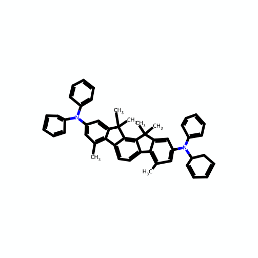 Cc1cc(N(c2ccccc2)c2ccccc2)cc2c1-c1ccc3c(c1C2(C)C)C(C)(C)c1cc(N(c2ccccc2)C2C=CC=CC2)cc(C)c1-3